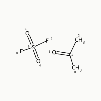 CC(C)=O.O=S(=O)(F)F